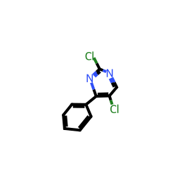 Clc1ncc(Cl)c(-c2ccccc2)n1